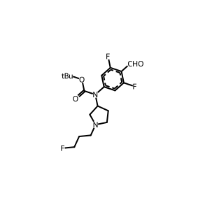 CC(C)(C)OC(=O)N(c1cc(F)c(C=O)c(F)c1)C1CCN(CCCF)C1